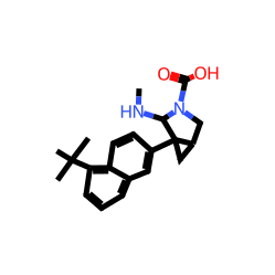 CNC1N(C(=O)O)CC2CC21c1ccc2c(C(C)(C)C)cccc2c1